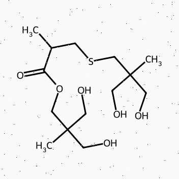 CC(CSCC(C)(CO)CO)C(=O)OCC(C)(CO)CO